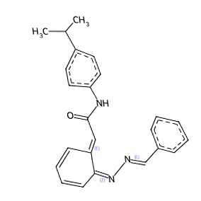 CC(C)c1ccc(NC(=O)\C=C2/C=CC=C/C2=N/N=C/c2ccccc2)cc1